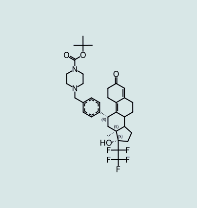 CC(C)(C)OC(=O)N1CCN(Cc2ccc([C@H]3C[C@@]4(C)C(CC[C@@]4(O)C(F)(F)C(F)(F)F)C4CCC5=CC(=O)CCC5=C43)cc2)CC1